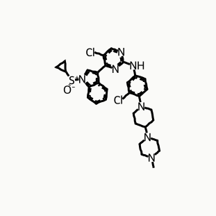 CN1CCN(C2CCN(c3ccc(Nc4ncc(Cl)c(-c5cn([S+]([O-])C6CC6)c6ccccc56)n4)cc3Cl)CC2)CC1